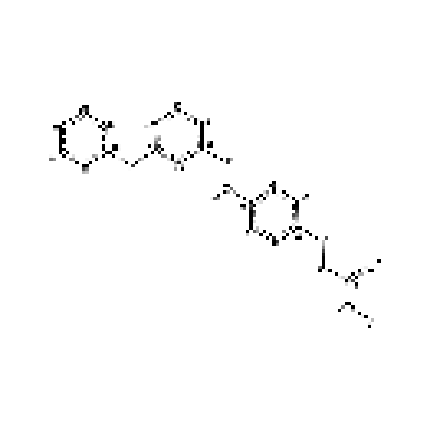 COC(=O)CCc1ccc(OCc2cccc(Cc3ccccc3)c2)cc1